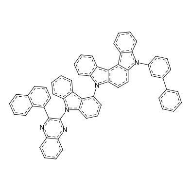 c1ccc(-c2cccc(-n3c4ccccc4c4c5c6ccccc6n(-c6cccc7c6c6ccccc6n7-c6nc7ccccc7nc6-c6cccc7ccccc67)c5ccc43)c2)cc1